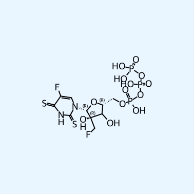 O=P(O)(O)OP(=O)(O)OP(=O)(O)OC[C@H]1O[C@@H](n2cc(F)c(=S)[nH]c2=S)[C@@](O)(CF)C1O